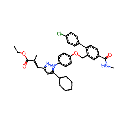 CCOC(=O)/C(C)=C/c1cc(C2CCCCC2)n(-c2ccc(OCc3cc(C(=O)NC)ccc3-c3ccc(Cl)cc3)cc2)n1